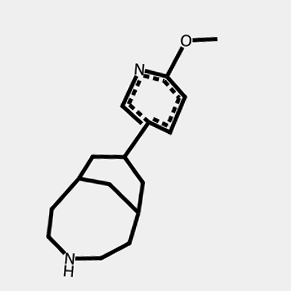 COc1ccc(C2CC3CCNCCC(C3)C2)cn1